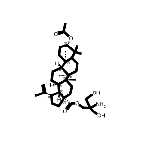 C=C(C)[C@@H]1CC[C@]2(C(=O)OCC(N)(CO)CO)CC[C@]3(C)[C@H](CC[C@@H]4[C@@]5(C)CC[C@H](OC(C)=O)C(C)(C)C5CC[C@]43C)[C@@H]12